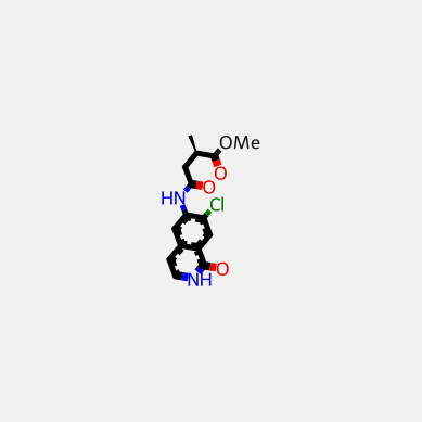 COC(=O)[C@H](C)CC(=O)Nc1cc2cc[nH]c(=O)c2cc1Cl